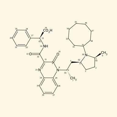 C[C@H]1CC[C@@H](C[C@H](C)n2c(=O)c(C(=O)N[C@H](C(=O)O)c3ccccc3)nc3ccccc32)N1C1CCCCCCC1